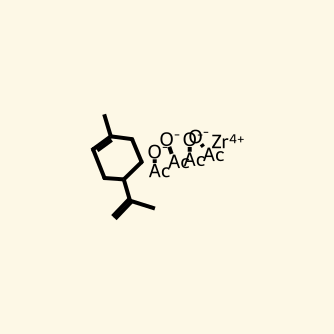 C=C(C)C1CC=C(C)CC1.CC(=O)[O-].CC(=O)[O-].CC(=O)[O-].CC(=O)[O-].[Zr+4]